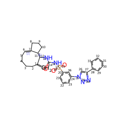 C=C1CCCC/C=C2/CCC/C2=C/1NC(=O)NS(=O)(=O)c1cccc(-n2cc(-c3ccccc3)nn2)c1